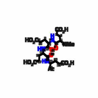 CNC(CCC(=O)O)C(=O)NC(CCC(=O)O)C(=O)NC(CCC(=O)O)C(=O)NC(CCC(=O)O)C(C)=O